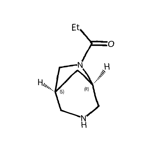 CCC(=O)N1C[C@@H]2CNC[C@H]1C2